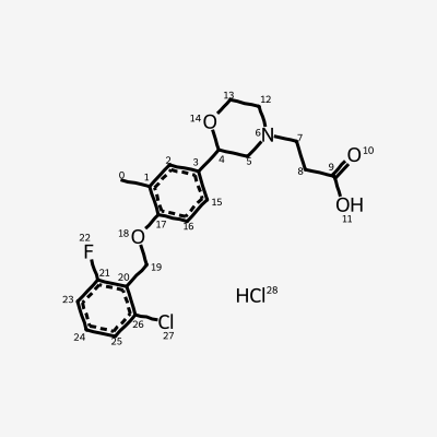 Cc1cc(C2CN(CCC(=O)O)CCO2)ccc1OCc1c(F)cccc1Cl.Cl